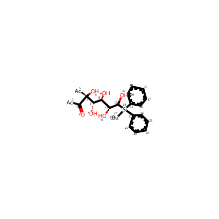 CC(=O)C(=O)[C@@](O)(C(C)=O)[C@@H](O)[C@@H](O)[C@H](O)C(O)[Si](c1ccccc1)(c1ccccc1)C(C)(C)C